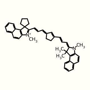 CN1/C(=C/C=C/C2=CC(=C/C=C/C3=[N+](C)c4ccc5ccccc5c4C34CCCC4)/CC2)C(C)(C)c2c1ccc1ccccc21